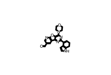 O=Cc1cnc2oc3c(N4CCOCC4)nc(C4=CCCc5[nH]ccc54)nc3c2c1